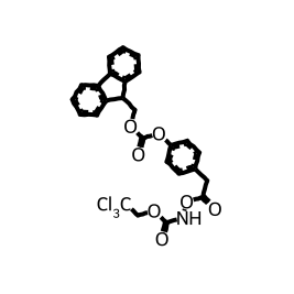 O=C(Cc1ccc(OC(=O)OCC2c3ccccc3-c3ccccc32)cc1)ONC(=O)OCC(Cl)(Cl)Cl